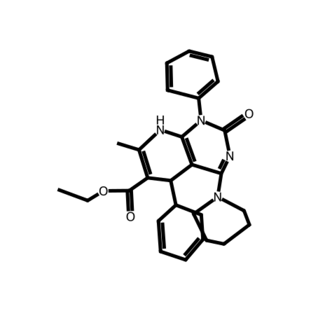 CCOC(=O)C1=C(C)Nc2c(c(N3CCCCC3)nc(=O)n2-c2ccccc2)C1C1C=CC=CC1